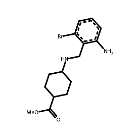 COC(=O)C1CCC(NCc2c(N)cccc2Br)CC1